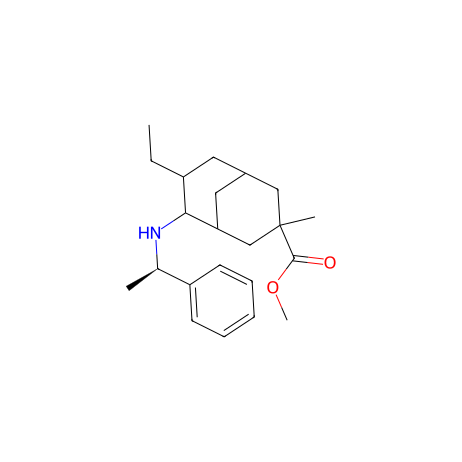 CCC1CC2CC(CC(C)(C(=O)OC)C2)C1N[C@H](C)c1ccccc1